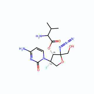 CC(C)C(N)C(=O)O[C@@H]1C(CO)(N=[N+]=[N-])OC[C@@]1(F)n1ccc(N)nc1=O